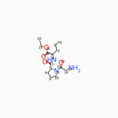 CCCC(NC(=O)[C@@H]1CCCN1C(=O)CN)C(=O)OCC